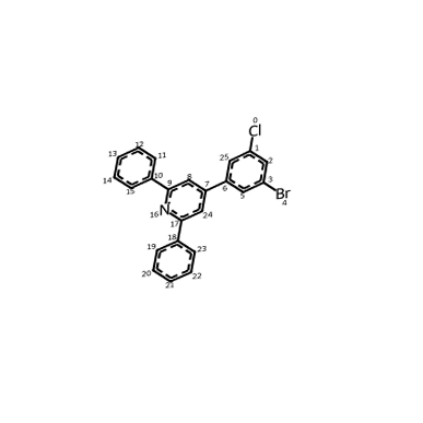 Clc1cc(Br)cc(-c2cc(-c3ccccc3)nc(-c3ccccc3)c2)c1